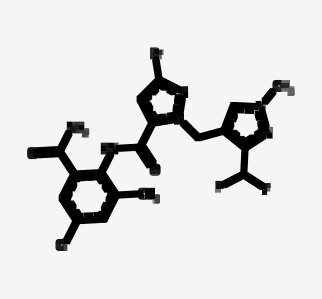 Cc1cc(Cl)cc(C(N)=O)c1NC(=O)c1cc(Br)nn1Cc1cn(C)nc1C(F)F